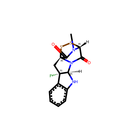 CN1C(=O)[C@]23C[C@]4(F)c5ccccc5N[C@@H]4N2C(=O)[C@H]1SS3